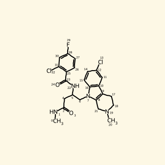 CNC(=O)CC(Cn1c2c(c3cc(Cl)ccc31)CCN(C)C2)NC(=O)c1ccc(F)cc1Cl